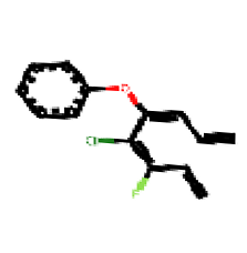 C=C/C=C(Oc1ccccc1)\C(Cl)=C(\F)C=C